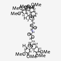 COc1ccc(C2c3cc(OC)c(OC)cc3CC[N+]2(C)CCCOC(=O)/C=C/C(=O)OCCC[N+]2(C)CCc3cc(OC)c(OC)cc3C2Cc2cc(OC)c(OC)c(OC)c2)cc1OC